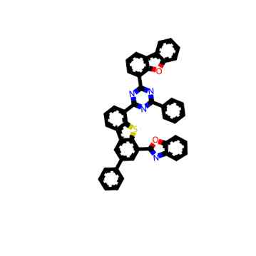 c1ccc(-c2cc(-c3nc4ccccc4o3)c3sc4c(-c5nc(-c6ccccc6)nc(-c6cccc7c6oc6ccccc67)n5)cccc4c3c2)cc1